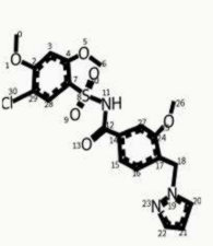 COc1cc(OC)c(S(=O)(=O)NC(=O)c2ccc(Cn3cccn3)c(OC)c2)cc1Cl